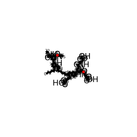 CCCCCN1/C(=C/C=C/C=C/C2=[N+](CCCS(=O)(=O)O)c3ccc(-c4cc(C(=O)NCCS(=O)(=O)O)nc(C(=O)NCCS(=O)(=O)O)c4)cc3C2)C(C)(C)c2cc(-c3cc(C(=O)NCC)nc(C(=O)NCC)c3)ccc21